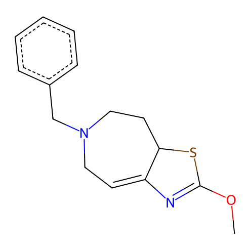 COC1=NC2=CCN(Cc3ccccc3)CCC2S1